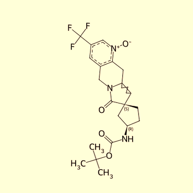 CC(C)(C)OC(=O)N[C@@H]1CC[C@@]2(C1)C(=O)N1Cc3cc(C(F)(F)F)c[n+]([O-])c3CC13CCCC32